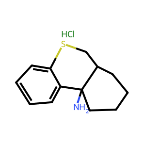 Cl.NC12CCCCC1CSc1ccccc12